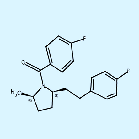 C[C@@H]1CC[C@H](CCc2ccc(F)cc2)N1C(=O)c1ccc(F)cc1